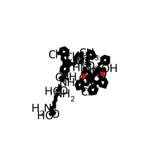 CN1CCN(Cc2cn(Cc3c(Cl)cccc3Cl)c3ccc(NC(=O)NCC(=O)O)cc23)CC1.NCCCC[C@H](N)C(=O)O.O=C(Nc1ccc2c(c1)c1c(n2Cc2c(Cl)cccc2Cl)C(c2ccccc2)c2ccccc2C(=O)N1N[C@@H](Cc1ccccc1)C(=O)O)Oc1ccccc1